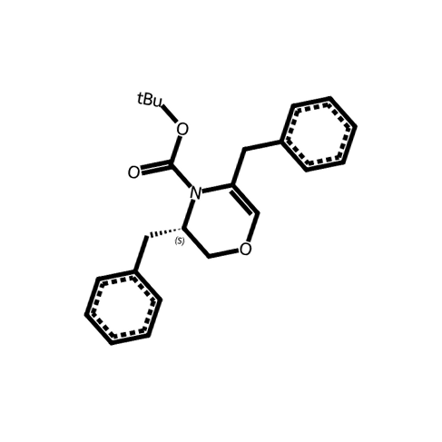 CC(C)(C)OC(=O)N1C(Cc2ccccc2)=COC[C@@H]1Cc1ccccc1